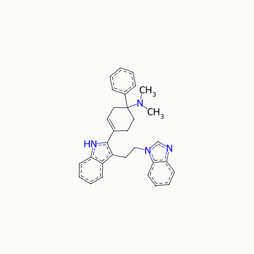 CN(C)C1(c2ccccc2)CC=C(c2[nH]c3ccccc3c2CCn2cnc3ccccc32)CC1